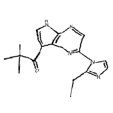 CCc1nccn1-c1cnc2[nH]cc(C(=O)C(C)(C)C)c2n1